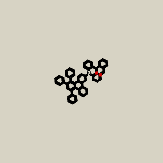 C1=Cc2c(c3c(c4c(-c5ccccc5)c(-c5ccccc5)cc(-c5ccccc5)c24)C=CC(N(c2ccccc2)c2ccccc2-c2cccc4ccccc24)C3)CC1